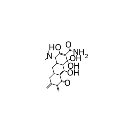 C=C1CC2CC3C(C(O)=C2C(=O)C1=C)C(O)(O)C(C(N)=O)=C(O)[C@H]3N(C)C